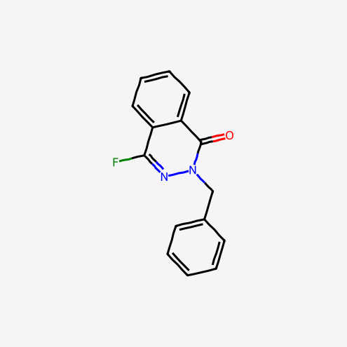 O=c1c2ccccc2c(F)nn1Cc1ccccc1